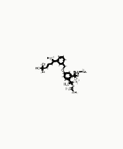 CCC(O)(CC)CCCC(C)c1cccc(COc2ccc(C(C)(C)O[SiH2]C(C)(C)C)c(C(C)(C)O[SiH2]C(C)(C)C)c2)c1